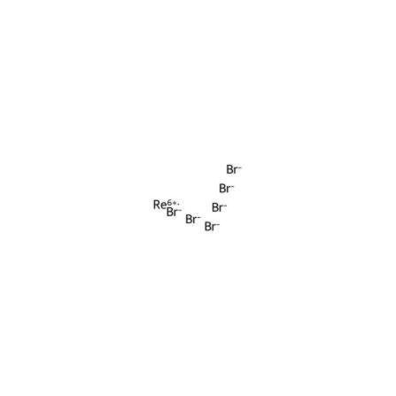 [Br-].[Br-].[Br-].[Br-].[Br-].[Br-].[Re+6]